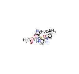 CC(=O)OCC(=O)NC(Sc1ncccc1C(=O)Nc1cccc(C(C)C)c1)c1ccncc1